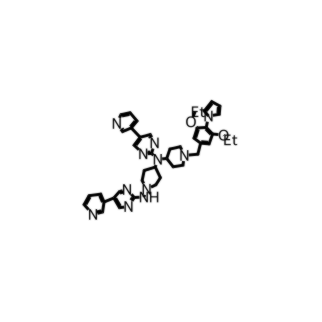 CCOc1cc(CN2CCC(N(c3ncc(-c4cccnc4)cn3)C3CCN(Nc4ncc(-c5cccnc5)cn4)CC3)CC2)cc(OCC)c1-n1cccc1